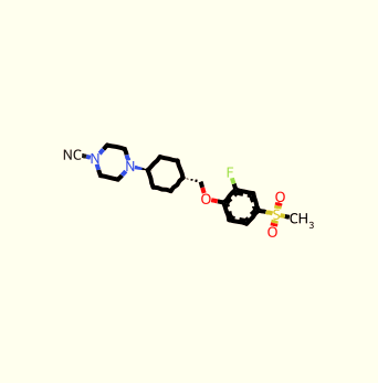 CS(=O)(=O)c1ccc(OC[C@H]2CC[C@H](N3CCN(C#N)CC3)CC2)c(F)c1